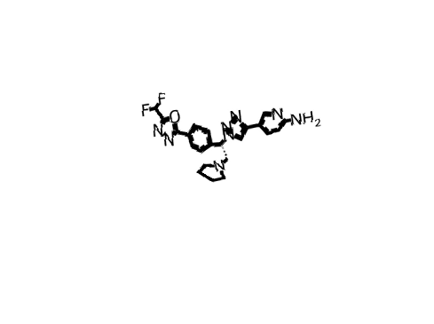 Nc1ccc(-c2cn([C@H](CN3CCCC3)c3ccc(-c4nnc(C(F)F)o4)cc3)nn2)cn1